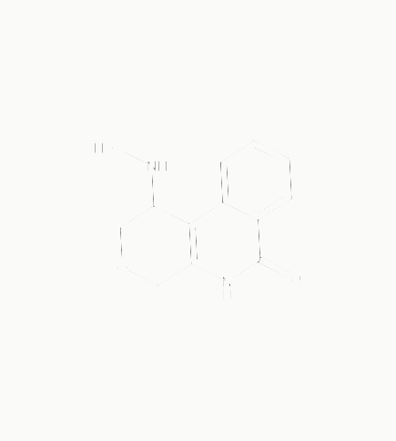 CNC1COCc2[nH]c(=O)c3ccccc3c21